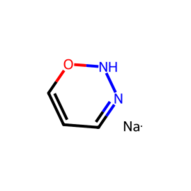 C1=CONN=C1.[Na]